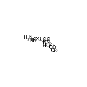 N=C(N)c1ccc(OCCCN2CCN(CC(Cc3ccc4c(c3)OCO4)C(=O)O)C(=O)C2=O)cc1